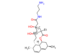 CCC(C)(C)C(=O)O[C@H]1C[C@@H](C)C=C2C=C[C@H](C)[C@H](CC[C@@H](O)C[C@@H](O)CC(=O)NCCCN)[C@H]21